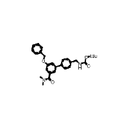 CN(C)C(=O)c1cc(OCc2ccccc2)cc(-c2ccc(CNC(=O)OC(C)(C)C)cc2)c1